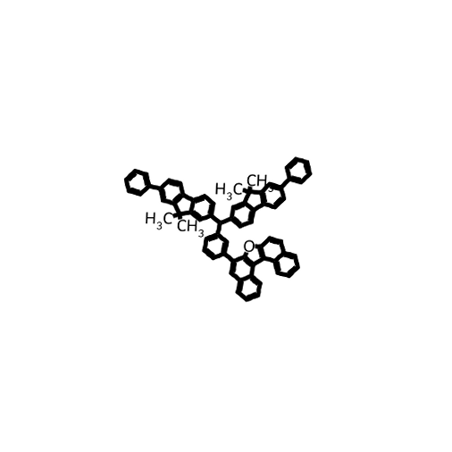 CC1(C)c2cc(-c3ccccc3)ccc2-c2ccc(C(c3cccc(-c4cc5ccccc5c5c4oc4ccc6ccccc6c45)c3)c3ccc4c(c3)C(C)(C)c3cc(-c5ccccc5)ccc3-4)cc21